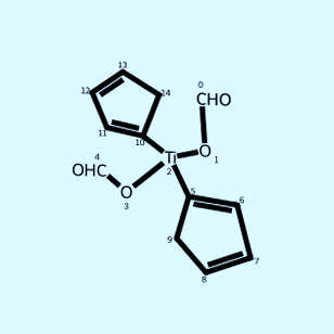 O=C[O][Ti]([O]C=O)([C]1=CC=CC1)[C]1=CC=CC1